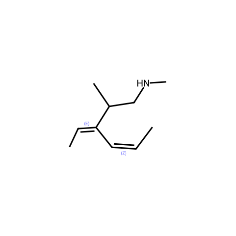 C/C=C\C(=C/C)C(C)CNC